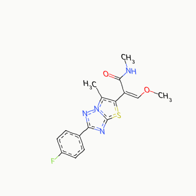 CNC(=O)/C(=C\OC)c1sc2nc(-c3ccc(F)cc3)nn2c1C